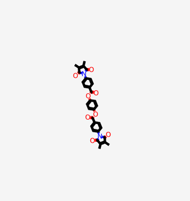 CC1=C(C)C(=O)N(c2ccc(C(=O)Oc3ccc(OC(=O)c4ccc(N5C(=O)C(C)=C(C)C5=O)cc4)cc3)cc2)C1=O